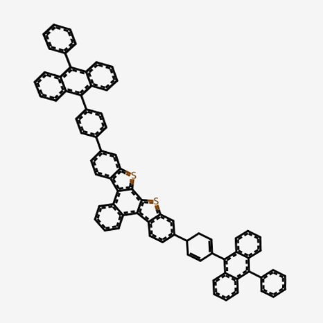 C1=CC(c2ccc3c(c2)sc2c4sc5cc(-c6ccc(-c7c8ccccc8c(-c8ccccc8)c8ccccc78)cc6)ccc5c4c4ccccc4c32)CC=C1c1c2ccccc2c(-c2ccccc2)c2ccccc12